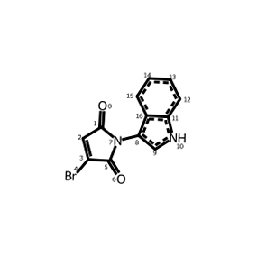 O=C1C=C(Br)C(=O)N1c1c[nH]c2ccccc12